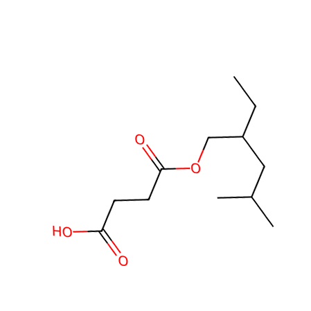 CCC(COC(=O)CCC(=O)O)CC(C)C